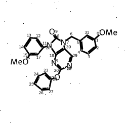 COc1cccc(Cn2c(=O)n(-c3cccc(OC)c3)c3nc(Oc4ccccc4)ncc32)c1